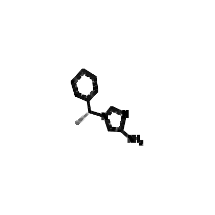 C[C@H](c1ccccc1)n1cnc(N)c1